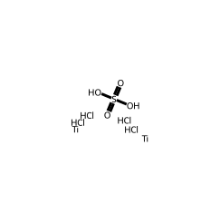 Cl.Cl.Cl.Cl.O=S(=O)(O)O.[Ti].[Ti]